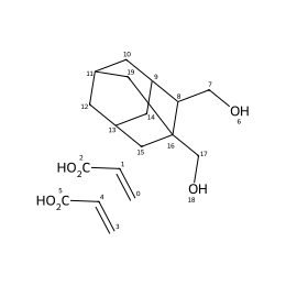 C=CC(=O)O.C=CC(=O)O.OCC1C2CC3CC(C2)CC1(CO)C3